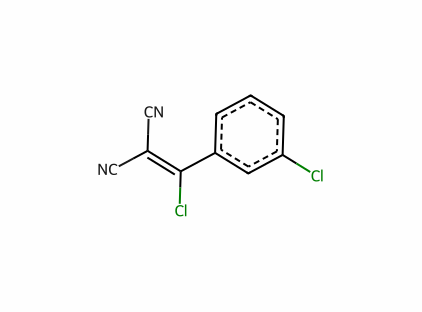 N#CC(C#N)=C(Cl)c1cccc(Cl)c1